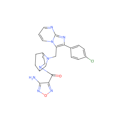 Nc1nonc1C(=O)N1CCC2CCC1CN2Cc1c(-c2ccc(Cl)cc2)nc2ncccn12